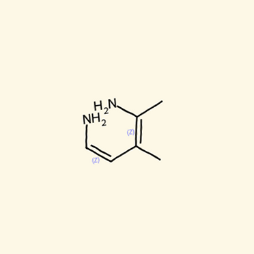 C/C(N)=C(C)/C=C\N